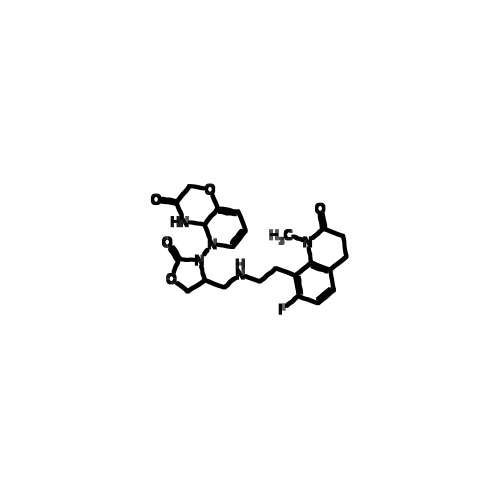 CN1C(=O)CCc2ccc(F)c(CCNCC3COC(=O)N3N3C=CC=C4OCC(=O)NC43)c21